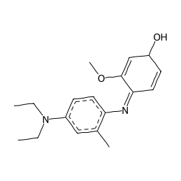 CCN(CC)c1ccc(/N=C2/C=CC(O)C=C2OC)c(C)c1